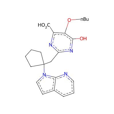 CCCCOc1c(O)nc(CC2(n3ccc4cccnc43)CCCC2)nc1C(=O)O